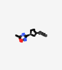 COC1CCC(c2noc(C)n2)C1